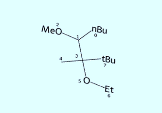 CCCCC(OC)C(C)(OCC)C(C)(C)C